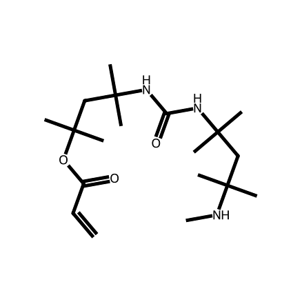 C=CC(=O)OC(C)(C)CC(C)(C)NC(=O)NC(C)(C)CC(C)(C)NC